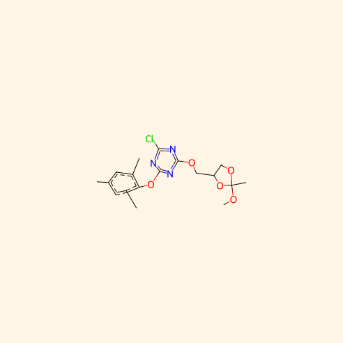 COC1(C)OCC(COc2nc(Cl)nc(Oc3c(C)cc(C)cc3C)n2)O1